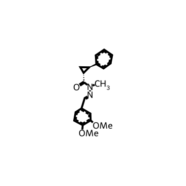 COc1ccc(C=NN(C)C(=O)[C@@H]2C[C@H]2c2ccccc2)cc1OC